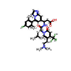 Cc1cc(F)cc(C)c1-c1cc(C(CC(=O)O)NC(=O)[C@@H](CC(C)C)n2cc(CCN(C)C)c(C(F)(F)F)cc2=O)cc2nccn12